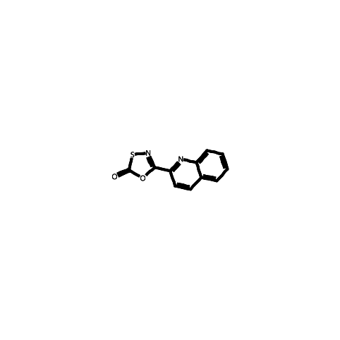 O=c1oc(-c2ccc3ccccc3n2)ns1